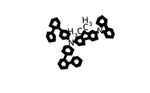 CC1(C)c2cc(N(c3ccc(-c4ccccc4-c4ccccc4)cc3)c3ccc(-c4ccccc4-c4ccccc4)cc3)ccc2-c2ccc(-n3c4ccccc4c4ccccc43)cc21